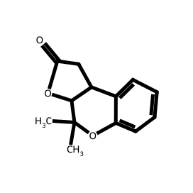 CC1(C)Oc2ccccc2C2CC(=O)OC21